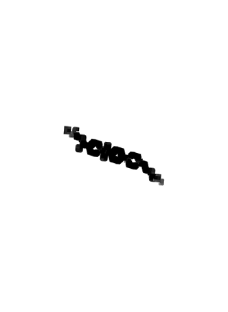 CCOC(=O)C1=CCN(S(=O)(=O)c2ccc(N3CCN(CCOC)CC3)cc2)CC1